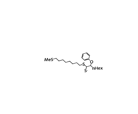 CCCCCCC(Oc1ccccc1)C([S])SCCCCCCCCSC